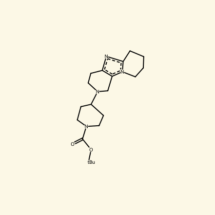 CC(C)(C)OC(=O)N1CCC(N2CCc3nc4n(c3C2)CCCC4)CC1